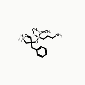 C=CC(CN)(Cc1ccccc1)O[Si](CCCN)(OC)OC